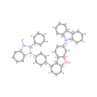 CN1c2ccccc2N(c2ccc(-c3cccc4oc5cc(-n6c7ccccc7c7ccccc76)ccc5c34)cc2)C1c1ccccc1